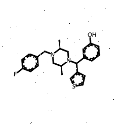 C[C@H]1CN(C(c2ccsc2)c2cccc(O)c2)[C@@H](C)CN1Cc1ccc(F)cc1